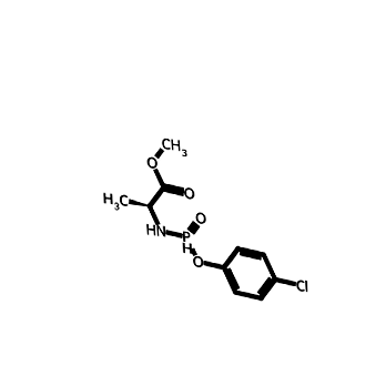 COC(=O)[C@H](C)N[PH](=O)Oc1ccc(Cl)cc1